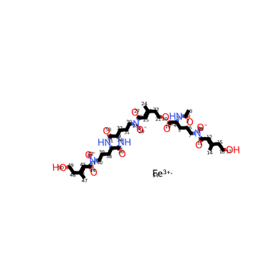 CC(=O)NC(CCCN([O-])C(=O)/C=C(\C)CCO)C(=O)OCC/C(C)=C/C(=O)N([O-])CCCC1NC(=O)C(CCCN([O-])C(=O)/C=C(\C)CCO)NC1=O.[Fe+3]